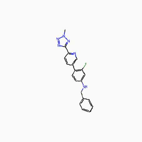 Cn1nnc(-c2ccc(-c3ccc(NCc4ccccc4)cc3F)cn2)n1